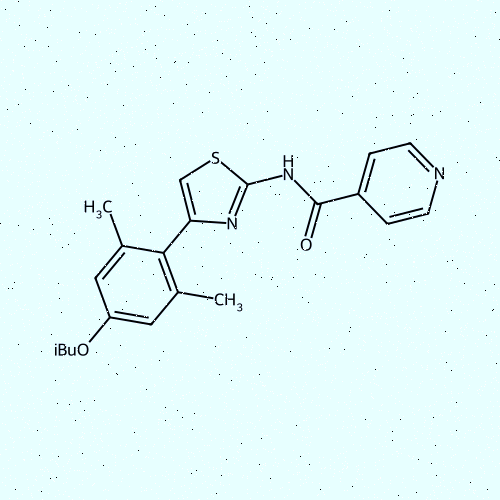 Cc1cc(OCC(C)C)cc(C)c1-c1csc(NC(=O)c2ccncc2)n1